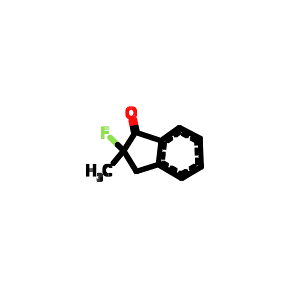 CC1(F)Cc2ccccc2C1=O